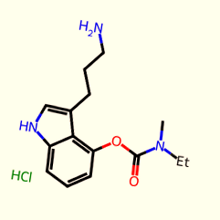 CCN(C)C(=O)Oc1cccc2[nH]cc(CCCN)c12.Cl